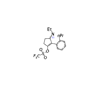 CCCc1ccccc1C1=C(OS(=O)(=O)C(F)(F)F)CC/C1=N\CC